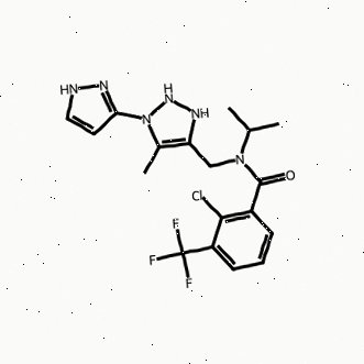 CC1=C(CN(C(=O)c2cccc(C(F)(F)F)c2Cl)C(C)C)NNN1c1cc[nH]n1